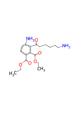 CCOC(=O)c1ccc(N)c(C(=O)CCCCCN)c1C(=O)OCC